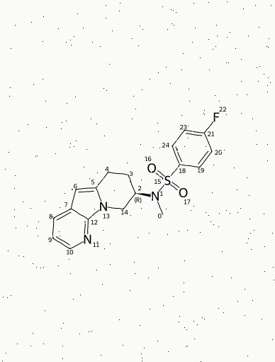 CN([C@@H]1CCc2[c]c3cccnc3n2C1)S(=O)(=O)c1ccc(F)cc1